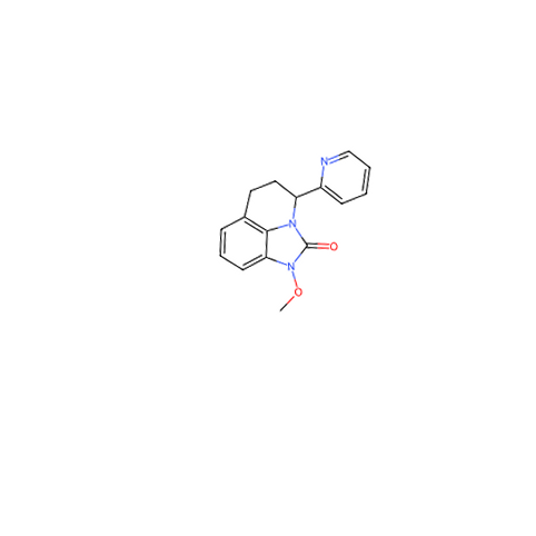 COn1c(=O)n2c3c(cccc31)CCC2c1ccccn1